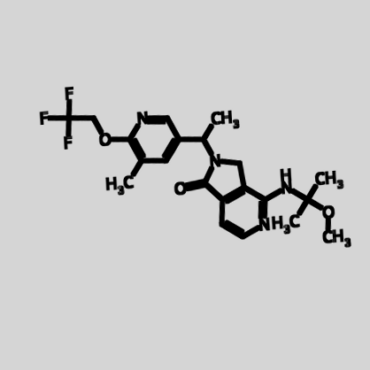 COC(C)(C)Nc1nccc2c1CN(C(C)c1cnc(OCC(F)(F)F)c(C)c1)C2=O